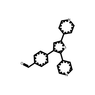 O=Cc1ccc(-c2cc(-c3ccncc3)sc2-c2ccncc2)cc1